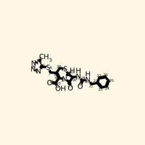 Cn1nnnc1SCC1=C(C(=O)O)N2C(=O)C(NC(=O)NCc3ccccc3)[C@H]2SC1